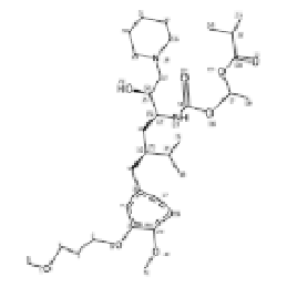 COCCCOc1cc(C[C@@H](C[C@H](NC(=O)OC(C)OC(=O)C(C)C)[C@@H](O)CN2CCCCC2)C(C)C)ccc1OC